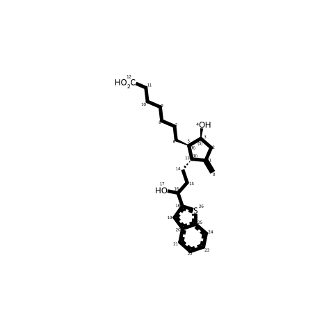 C=C1C[C@H](O)[C@H](CCCCCCC(=O)O)[C@H]1CCC(O)c1cc2ccccc2s1